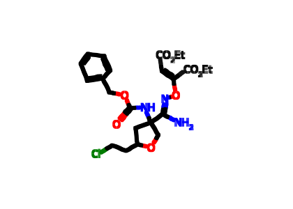 CCOC(=O)C=C(ON=C(N)C1(NC(=O)OCc2ccccc2)COC(CCCl)C1)C(=O)OCC